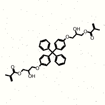 C=C(C)C(=O)OCC(O)COc1ccc(C(c2ccccc2)(c2ccccc2)c2ccc(OCC(O)COC(=O)C(=C)C)cc2)cc1